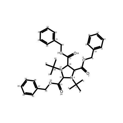 CC(C)(C)N1C(C(=O)OCc2ccccc2)C(C(=O)OCc2ccccc2)N(C(C)(C)C)C1C(=O)OCc1ccccc1